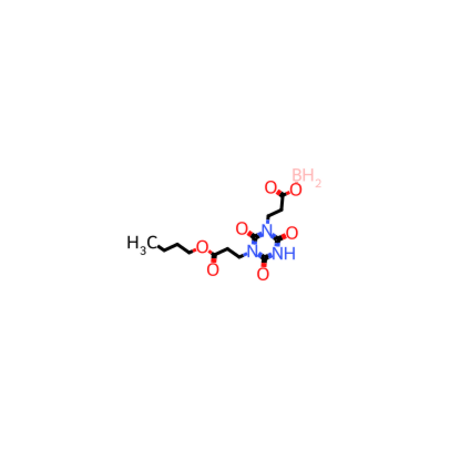 BOC(=O)CCn1c(=O)[nH]c(=O)n(CCC(=O)OCCCC)c1=O